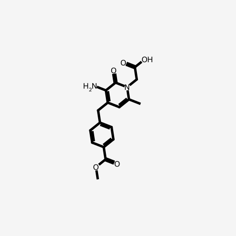 COC(=O)c1ccc(Cc2cc(C)n(CC(=O)O)c(=O)c2N)cc1